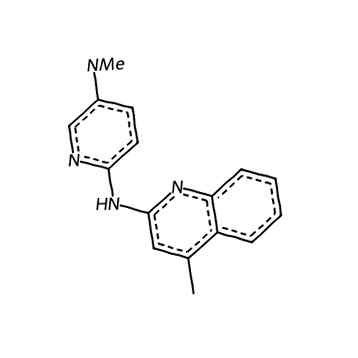 CNc1ccc(Nc2cc(C)c3ccccc3n2)nc1